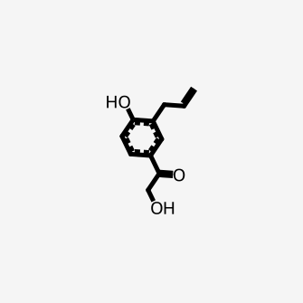 C=CCc1cc(C(=O)CO)ccc1O